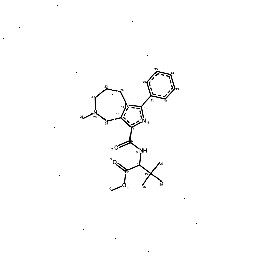 COC(=O)C(NC(=O)c1nc(-c2ccccc2)n2c1CN(C)CCC2)C(C)(C)C